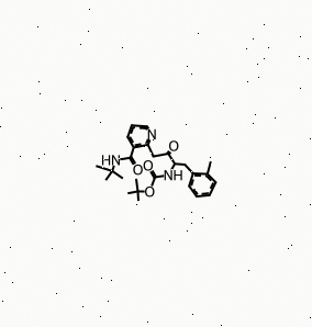 Cc1ccccc1CC(NC(=O)OC(C)(C)C)C(=O)Cc1ncccc1C(=O)NC(C)(C)C